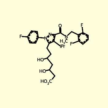 CC(C)c1c(C(=O)N(C)Cc2c(F)cccc2F)nn(-c2ccc(F)cc2)c1CCC(O)CC(O)CC(=O)O